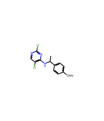 COc1ccc(C(C)Nc2nc(Cl)ncc2Cl)cc1